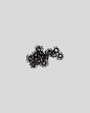 c1ccc(-c2cccc3c2oc2cc(C4=NC(c5ccccc5)NC(n5c6ccccc6c6ccc7c(c65)-c5ccccc5C75c6ccccc6-c6ccccc65)=N4)ccc23)cc1